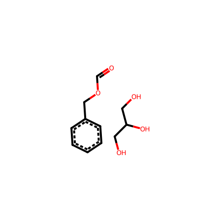 O=COCc1ccccc1.OCC(O)CO